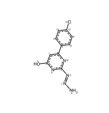 NN=Nc1nc(O)cc(-c2ccc(Cl)cc2)n1